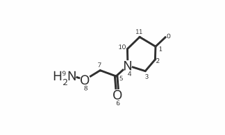 CC1CCN(C(=O)CON)CC1